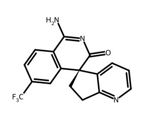 NC1=NC(=O)[C@@]2(CCc3ncccc32)c2cc(C(F)(F)F)ccc21